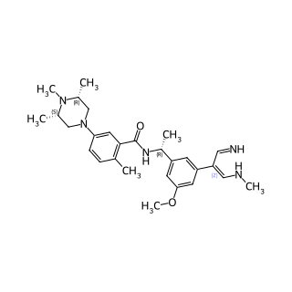 CN/C=C(\C=N)c1cc(OC)cc([C@@H](C)NC(=O)c2cc(N3C[C@@H](C)N(C)[C@@H](C)C3)ccc2C)c1